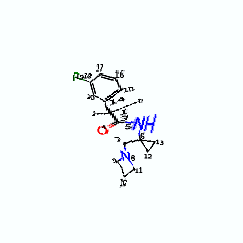 CC(C)(C(=O)NC1(CN2CCC2)CC1)c1cccc(F)c1